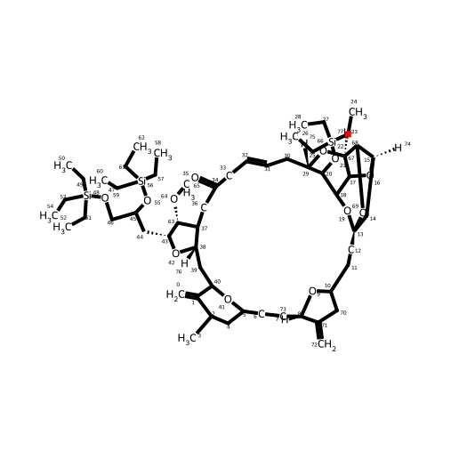 C=C1C(C)CC2CC[C@@H]3OC(CC[C@@]45C[C@H]6OC7C(O4)C(O[Si](CC)(CC)CC)[C@H](C/C=C/CC(=O)CC4[C@H](CC1O2)O[C@H](CC(CO[Si](CC)(CC)CC)O[Si](CC)(CC)CC)[C@@H]4OC)O[C@H]7C6O5)CC3=C